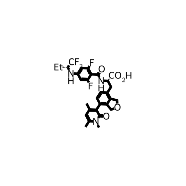 CC[C@@H](Nc1cc(F)c(C(=O)N[C@@H](Cc2ccc(-c3c(C)cc(C)n(C)c3=O)c3c2COC3)C(=O)O)c(F)c1)C(F)(F)F